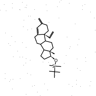 C=C[C@]12CCC(=C)C=C1CCC1C2CC[C@@]2(C)C1CC[C@@H]2O[Si](C)(C)C(C)(C)C